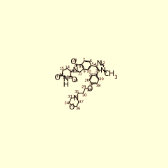 Cn1cnc(-c2ccc3c(c2)CN(C2CCC(=O)NC2=O)C3=O)c1-c1ccc(OCCCN2CCOCC2)cc1